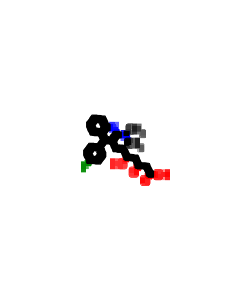 CN(C)c1nc2ccccc2c(-c2ccc(F)cc2)c1C=CC(O)CC(=O)CC(=O)O